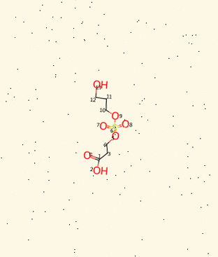 O=C(O)CCOS(=O)(=O)OCCCO